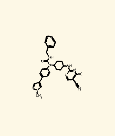 Cn1cc(-c2ccc(N(C(=O)NCc3ccccc3)C3CCC(Nc4ncc(C#N)c(Cl)n4)CC3)cc2)cn1